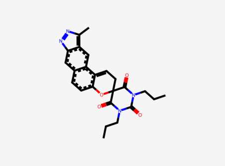 CCCN1C(=O)N(CCC)C(=O)C2(CC=c3c(ccc4cc5c(cc34)=C(C)N=N5)O2)C1=O